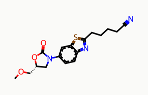 COC[C@H]1CN(c2ccc3nc(CCCCC#N)sc3c2)C(=O)O1